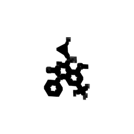 COc1cc(C(F)(F)F)cc2c1c(NC1C[C@@H]1F)nc(=O)n2-c1ccccc1